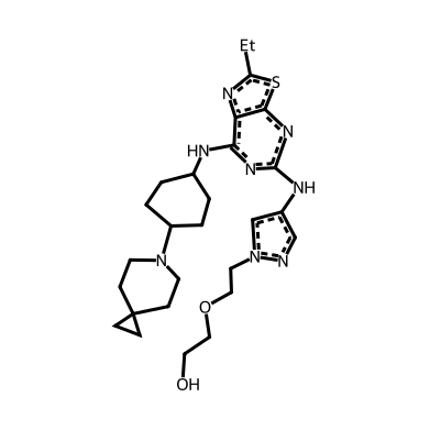 CCc1nc2c(NC3CCC(N4CCC5(CC4)CC5)CC3)nc(Nc3cnn(CCOCCO)c3)nc2s1